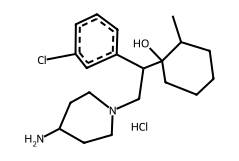 CC1CCCCC1(O)C(CN1CCC(N)CC1)c1cccc(Cl)c1.Cl